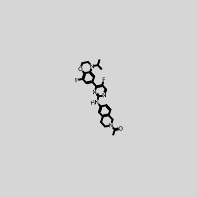 CC(=O)N1CCc2cc(Nc3ncc(F)c(-c4cc(F)c5c(c4)N(C(C)C)CCO5)n3)ccc2C1